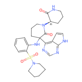 O=C1NCCC[C@H]1N1CCCC(Nc2ccccc2S(=O)(=O)N2CCCCC2)(c2ncnc3[nH]ccc23)C1=O